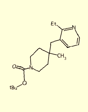 CCc1ncccc1CC1(C)CCN(C(=O)OC(C)(C)C)CC1